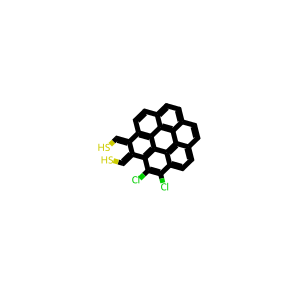 SC=c1c(=CS)c2c(Cl)c(Cl)c3ccc4ccc5ccc6ccc1c1c6c5c4c3c21